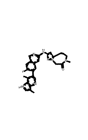 Cc1c[nH]c2c(C)c(-c3cc4cc(Nc5cc6n(n5)CC(=O)N(C)CC6)ncc4cc3F)cnc12